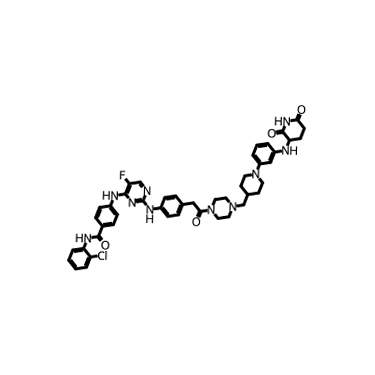 O=C1CCC(Nc2cccc(N3CCC(CN4CCN(C(=O)Cc5ccc(Nc6ncc(F)c(Nc7ccc(C(=O)Nc8ccccc8Cl)cc7)n6)cc5)CC4)CC3)c2)C(=O)N1